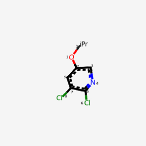 CC(C)Oc1cnc(Cl)c(Cl)c1